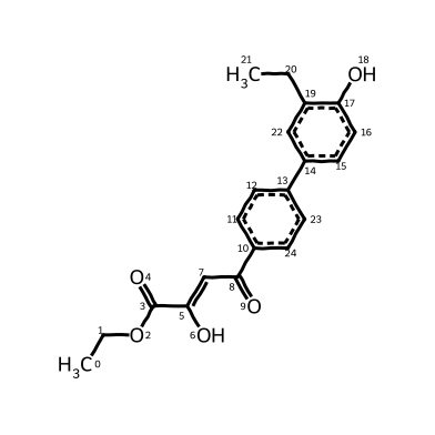 CCOC(=O)/C(O)=C/C(=O)c1ccc(-c2ccc(O)c(CC)c2)cc1